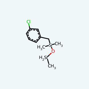 C[SiH2]O[Si](C)(C)Cc1cccc(Cl)c1